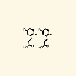 O=C(O)/C=C/c1cc(F)ccc1F.O=C(O)CCc1cc(F)ccc1F